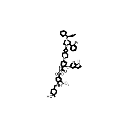 CC#CC(c1ccccc1)N1CCN(C2CC3(CCN(c4ccc(C(=O)NS(=O)(=O)c5ccc(NCC6CCC(C)(O)CC6)c([N+](=O)[O-])c5)c(Oc5cnc6[nH]ccc6c5)c4)CC3)C2)C(c2ccccc2C(C)C)C1